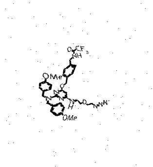 COc1ccc(CN(Cc2ccc(OC)cc2)c2nc(NCCOCCN=[N+]=[N-])cc(OCc3ccc(CNC(=O)C(F)(F)F)cc3)n2)cc1